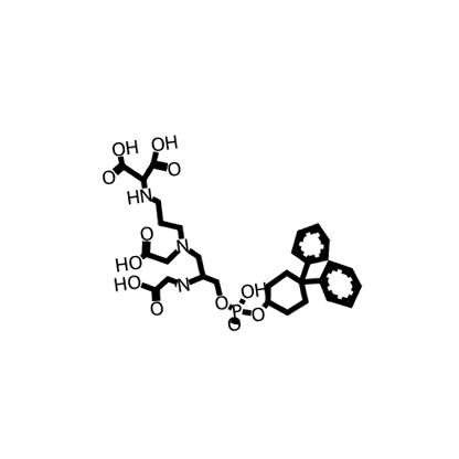 O=C(O)C[N]C(COP(=O)(O)OC1CCC(c2ccccc2)(c2ccccc2)CC1)CN(CCCNC(C(=O)O)C(=O)O)CC(=O)O